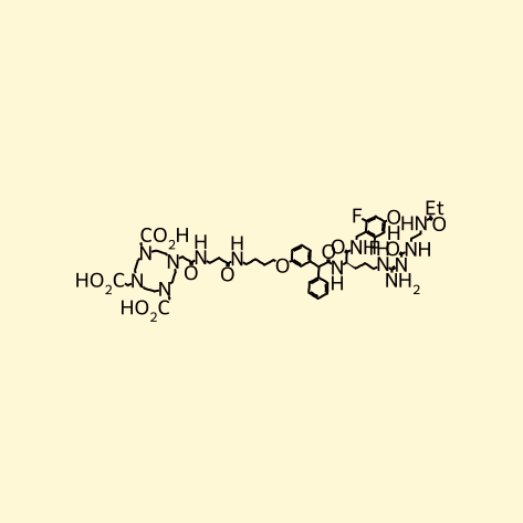 CCC(=O)NCCNC(=O)/N=C(/N)NCCC[C@@H](NC(=O)C(c1ccccc1)c1cccc(OCCCCNC(=O)CCNC(=O)CN2CCN(CC(=O)O)CCN(CC(=O)O)CCN(CC(=O)O)CC2)c1)C(=O)NCc1c(F)cc(O)cc1F